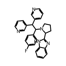 Fc1ccc(C(C(c2cccnc2)c2cccnc2)N2CCCC2c2nc3ccccc3[nH]2)cc1